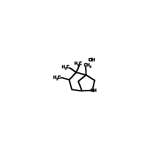 CC1CC2CC(C)(CN2)C1(C)C.Cl